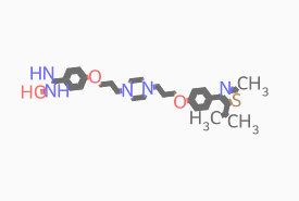 Cc1nc(-c2ccc(OCCCN3CCN(CCCOc4ccc(C(=N)NO)cc4)CC3)cc2)c(C(C)C)s1